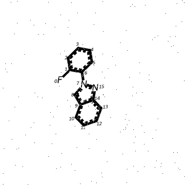 Fc1ccccc1-n1cc2ccccc2n1